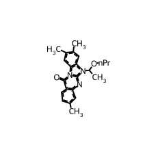 CCCOC(C)n1c2cc(C)c(C)cc2n2c(=O)c3ccc(C)cc3nc12